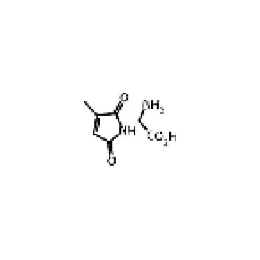 CC1=CC(=O)NC1=O.NCC(=O)O